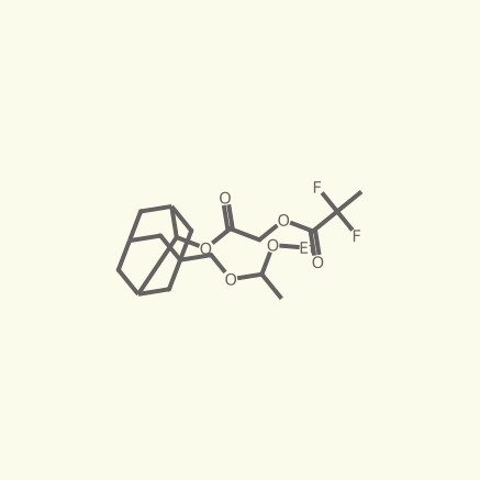 CCOC(C)OCC12CC3CC(C1)C(OC(=O)COC(=O)C(C)(F)F)C(C3)C2